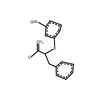 C=C(Cl)C(Cc1ccccc1)Oc1cccc(C=O)c1